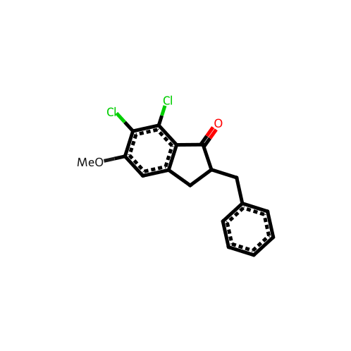 COc1cc2c(c(Cl)c1Cl)C(=O)C(Cc1ccccc1)C2